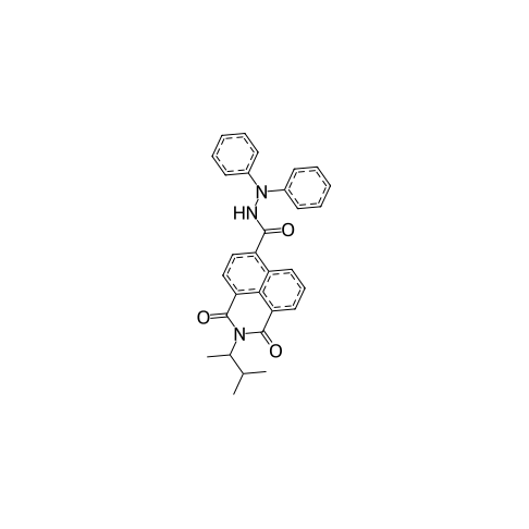 CC(C)C(C)N1C(=O)c2cccc3c(C(=O)NN(c4ccccc4)c4ccccc4)ccc(c23)C1=O